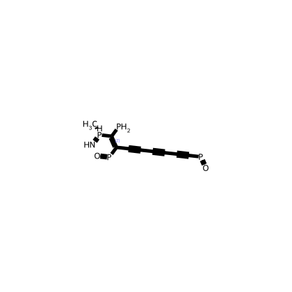 C[PH](=N)/C(P)=C(/C#CC#CC#CP=O)P=O